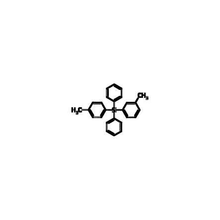 Cc1ccc([Si](c2ccccc2)(c2ccccc2)c2cccc(C)c2)cc1